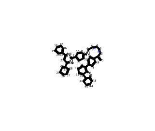 C=C1/C=C\C=C/CN(c2ccc(-c3nc(-c4ccccc4)cc(-c4ccccc4)n3)cc2)c2cc(-c3cccc4c3sc3ccccc34)ccc21